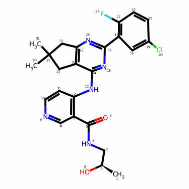 C[C@@H](O)CNC(=O)c1cnccc1Nc1nc(-c2cc(Cl)ccc2F)nc2c1CC(C)(C)C2